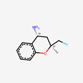 C[C@@]1(CF)C[C@@H](N)c2ccccc2O1